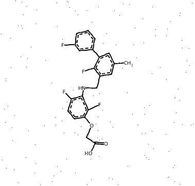 Cc1cc(CNc2c(F)ccc(OCC(=O)O)c2F)c(F)c(-c2cccc(F)c2)c1